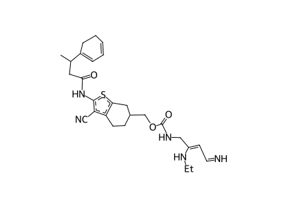 CCN/C(=C\C=N)CNC(=O)OCC1CCc2c(sc(NC(=O)CC(C)C3=CC=CCC3)c2C#N)C1